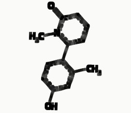 Cc1cc(O)ccc1-c1cccc(=O)n1C